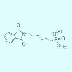 CCOP(=O)(CCCCCCN1C(=O)c2ccccc2C1=O)OCC